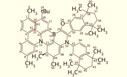 Cc1ccc(-c2ccc(C)cc2N2C3=C4B(c5cc(C(C)(C)C)ccc52)c2oc5cc6c(cc5c2N(C2C=CC5=C(C2)C(C)(C)CCC5(C)C)C4=CC(C)[C@H]3C)C(C)(C)CCC6(C)C)cc1